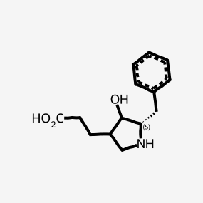 O=C(O)CCC1CN[C@@H](Cc2ccccc2)C1O